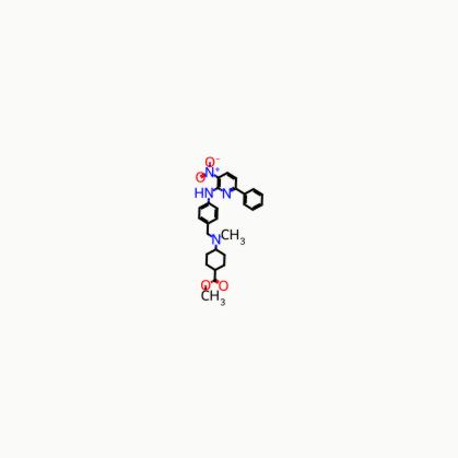 COC(=O)C1CCC(N(C)Cc2ccc(Nc3nc(-c4ccccc4)ccc3[N+](=O)[O-])cc2)CC1